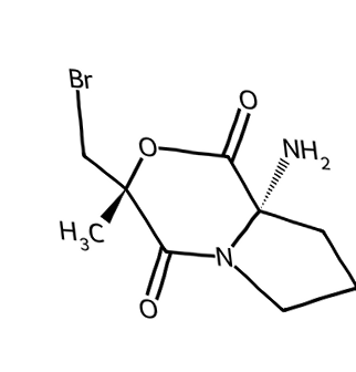 C[C@@]1(CBr)OC(=O)[C@@]2(N)CCCN2C1=O